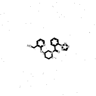 C[C@@H]1CC[C@@H](Oc2ncccc2CO)CN1C(=O)c1ccccc1-n1ncnn1